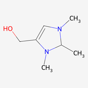 CC1N(C)C=C(CO)N1C